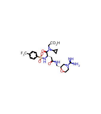 N=C(N)N1CCO[C@H](CNC(=O)C[C@H](NS(=O)(=O)c2ccc(C(F)(F)F)cc2)C(=O)N(CC(=O)O)C2CC2)C1